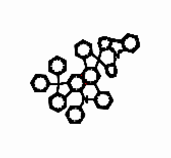 c1ccc(N(c2ccccc2-c2ccc3c(c2)C2(c4ccccc4-3)c3ccccc3-n3c4ccccc4c4cccc2c43)c2cccc3c2-c2ccccc2C3(c2ccccc2)c2ccccc2)cc1